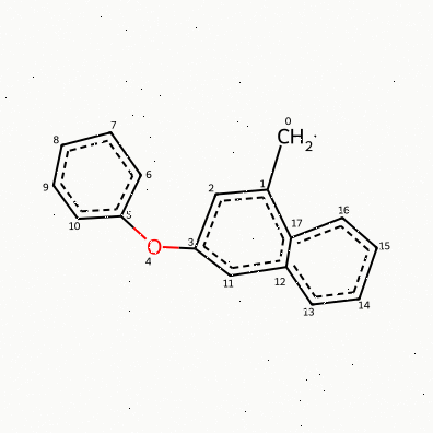 [CH2]c1cc(Oc2ccccc2)cc2ccccc12